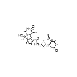 Cc1cc([C@@](C)(O)c2cc(C(=O)N[C@H]3C[C@@H](c4cc(Cl)ccc4C#N)C3)no2)cnc1Cl